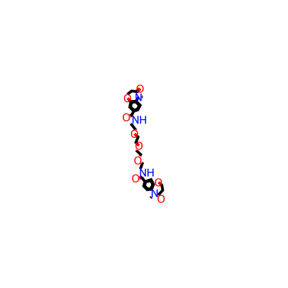 CN1C(=O)CCOc2cc(C(=O)NCCOCCOCCOCCNC(=O)c3ccc4c(c3)OCCC(=O)N4C)ccc21